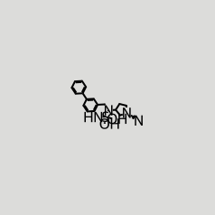 N#CN1CCC(N2Cc3cc(-c4ccccc4)ccc3NS2(O)O)C1